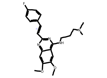 COc1cc2nc(/C=C/c3ccc(F)cc3)nc(NCCCN(C)C)c2cc1OC